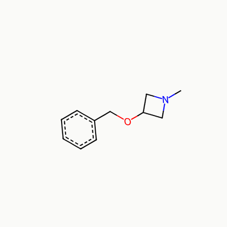 CN1CC(OCc2ccccc2)C1